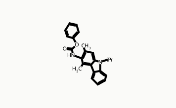 Cc1cc2c(c(C)c1NC(=O)Oc1ccccc1)c1ccccc1n2C(C)C